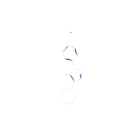 Cc1c(N2CCNCC2)cnn1-c1ccc(OC(F)(F)F)cc1